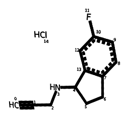 C#CCNC1CCc2ccc(F)cc21.Cl